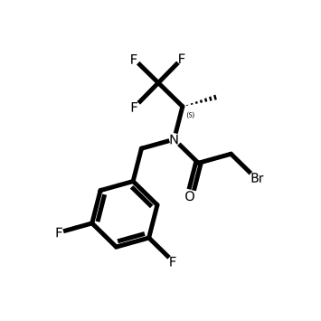 C[C@H](N(Cc1cc(F)cc(F)c1)C(=O)CBr)C(F)(F)F